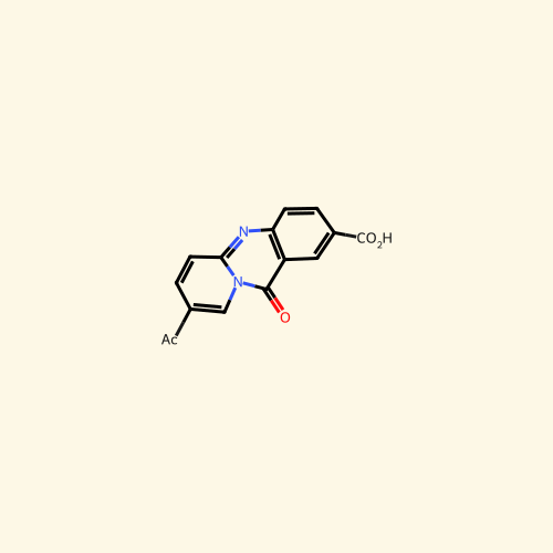 CC(=O)c1ccc2nc3ccc(C(=O)O)cc3c(=O)n2c1